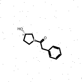 O=C([CH]c1ccccc1)N1CC[C@H](O)C1